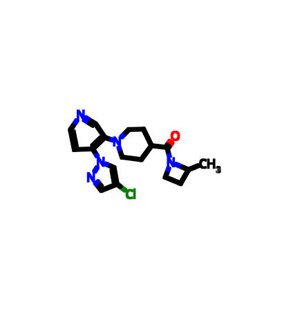 CC1CCN1C(=O)C1CCN(c2cnccc2-n2cc(Cl)cn2)CC1